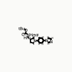 CC(C)(C)OC(=O)NN[C@H]1CCN(c2ccc(-n3ccnc3)cc2F)C1=O